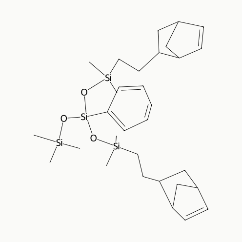 C[Si](C)(C)O[Si](O[Si](C)(C)CCC1CC2C=CC1C2)(O[Si](C)(C)CCC1CC2C=CC1C2)c1ccccc1